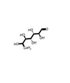 O=C[C@@H](O)[C@@H](O)[C@H](O)[C@H](O)[CH](O)[GaH2]